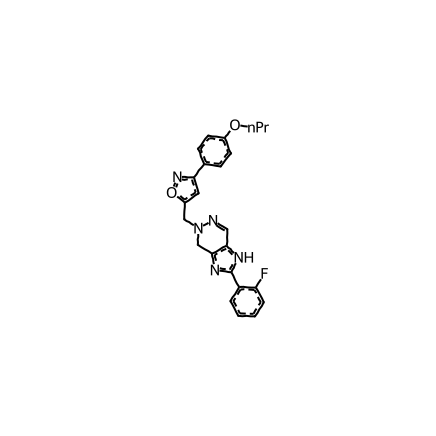 CCCOc1ccc(-c2cc(CN3Cc4nc(-c5ccccc5F)[nH]c4C=N3)on2)cc1